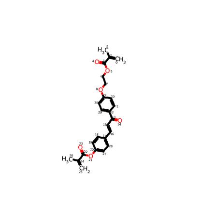 C=C(C)C(=O)OCCOc1ccc(C(=O)/C=C/c2ccc(OC(=O)C(=C)C)cc2)cc1